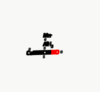 O=[C]=[Co].[AlH3].[Mn]